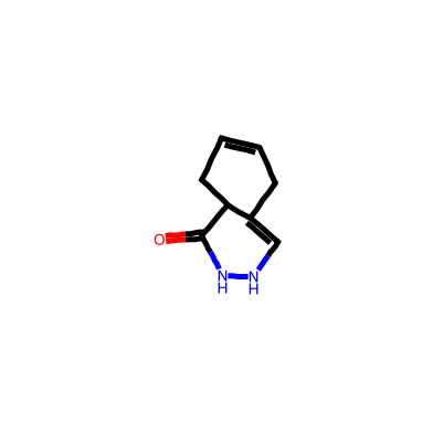 O=C1NNC=C2CC=CCC12